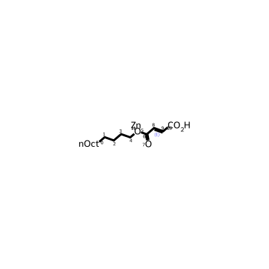 CCCCCCCCCCCCOC(=O)/C=C/C(=O)O.[Zn]